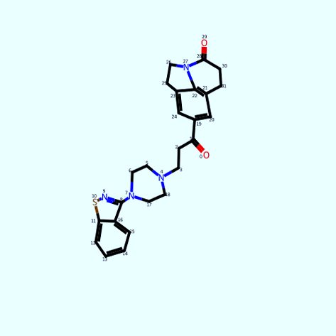 O=C(CCN1CCN(c2nsc3ccccc23)CC1)c1cc2c3c(c1)CCN3C(=O)CC2